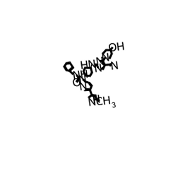 Cn1cc(-c2ccc(N(C(=O)NCc3ccccc3)[C@H]3CC[C@H](Nc4ncc(C#N)c(N5CCC(O)CC5)n4)CC3)nc2)cn1